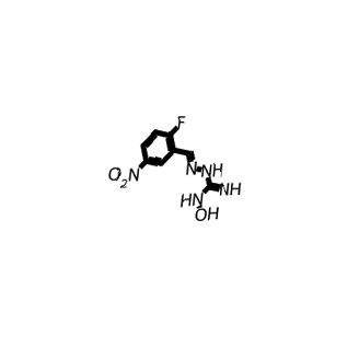 N=C(NO)NN=Cc1cc([N+](=O)[O-])ccc1F